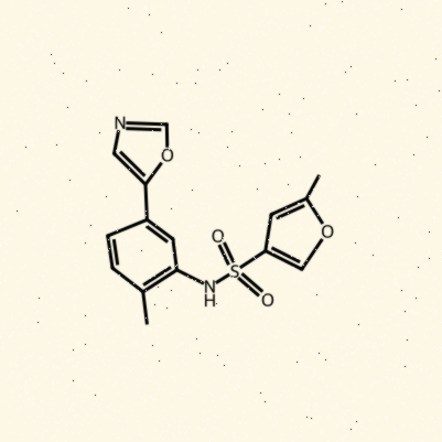 Cc1cc(S(=O)(=O)Nc2cc(-c3cnco3)ccc2C)co1